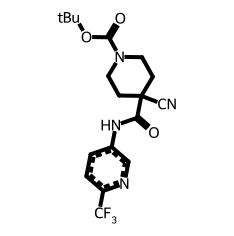 CC(C)(C)OC(=O)N1CCC(C#N)(C(=O)Nc2ccc(C(F)(F)F)nc2)CC1